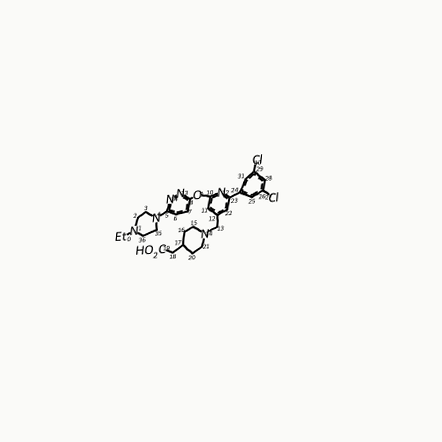 CCN1CCN(c2ccc(Oc3cc(CN4CCC(CC(=O)O)CC4)cc(-c4cc(Cl)cc(Cl)c4)n3)nn2)CC1